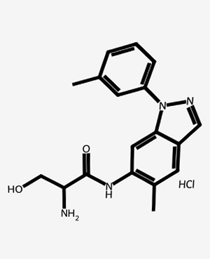 Cc1cccc(-n2ncc3cc(C)c(NC(=O)C(N)CO)cc32)c1.Cl